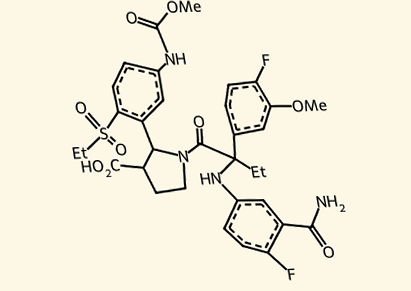 CCC(Nc1ccc(F)c(C(N)=O)c1)(C(=O)N1CCC(C(=O)O)C1c1cc(NC(=O)OC)ccc1S(=O)(=O)CC)c1ccc(F)c(OC)c1